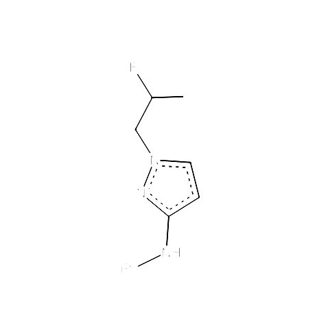 CC(C)Nc1ccn(CC(F)F)n1